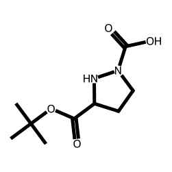 CC(C)(C)OC(=O)C1CCN(C(=O)O)N1